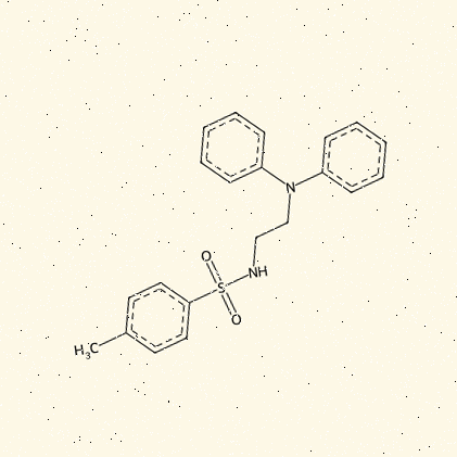 Cc1ccc(S(=O)(=O)NCCN(c2ccccc2)c2ccccc2)cc1